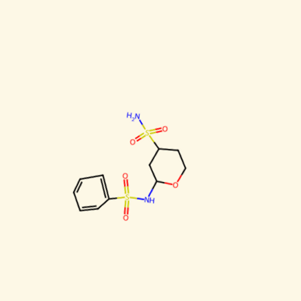 NS(=O)(=O)C1CCOC(NS(=O)(=O)c2ccccc2)C1